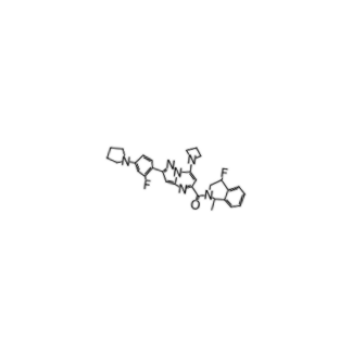 CC1c2ccccc2C(F)CN1C(=O)c1cc(N2CCC2)n2nc(-c3ccc(N4CCCC4)cc3F)cc2n1